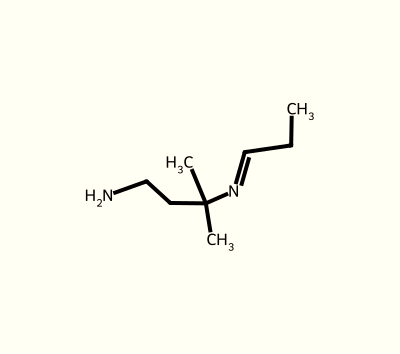 CCC=NC(C)(C)CCN